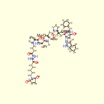 CC[C@H](C)[C@@H]([C@@H](CC(=O)N1CCC[C@H]1[C@@](C)(CC(=O)N[C@@H](Cc1c[nH]c2ccccc12)C(=O)NCc1ccccc1)OC)OC)N(C)C(=O)[C@@H](NC(=O)[C@H](C(C)C)N(C)CCCC(=O)NNC(=O)CCCCCN1C(=O)C=CC1=O)C(C)C